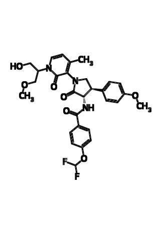 COCC(CO)n1ccc(C)c(N2C[C@@H](c3ccc(OC)cc3)[C@H](NC(=O)c3ccc(OC(F)F)cc3)C2=O)c1=O